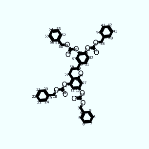 O=C(OCc1ccccc1)Oc1cc(OC(=O)OCc2ccccc2)c2c(c1)OC(c1ccc(OC(=O)OCc3ccccc3)c(OC(=O)OCc3ccccc3)c1)CC2